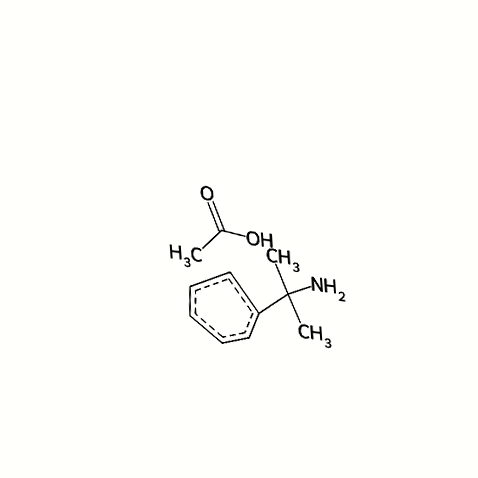 CC(=O)O.CC(C)(N)c1ccccc1